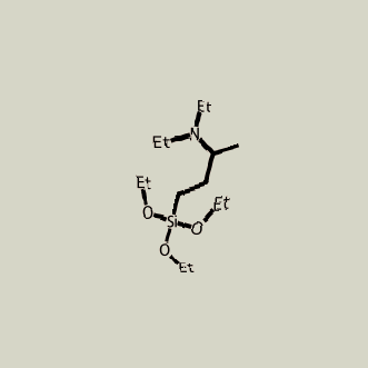 CCO[Si](CCC(C)N(CC)CC)(OCC)OCC